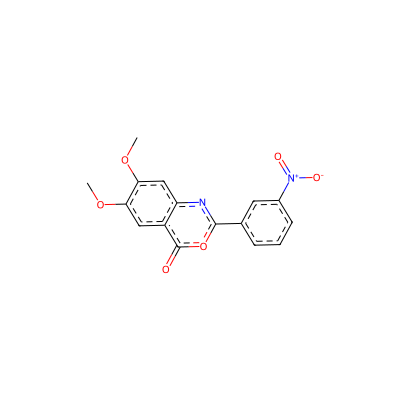 COc1cc2nc(-c3cccc([N+](=O)[O-])c3)oc(=O)c2cc1OC